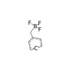 F[B-](F)(F)Cc1ccccc1